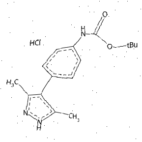 Cc1n[nH]c(C)c1-c1ccc(NC(=O)OC(C)(C)C)cc1.Cl